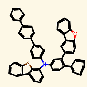 c1ccc(-c2ccc(-c3ccc(N(c4ccc(-c5ccccc5)c(-c5ccc6oc7ccccc7c6c5)c4)c4cccc5c4sc4ccccc45)cc3)cc2)cc1